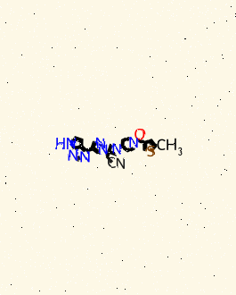 Cc1cc(C(=O)N2CCC(N3CC(CC#N)(n4cc(-c5ncnc6[nH]ccc56)cn4)C3)CC2)cs1